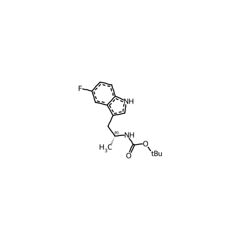 C[C@H](Cc1c[nH]c2ccc(F)cc12)NC(=O)OC(C)(C)C